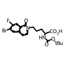 CC(C)(C)OC(=O)NC(CCCn1ccc2cc(Br)c(F)cc2c1=O)C(=O)O